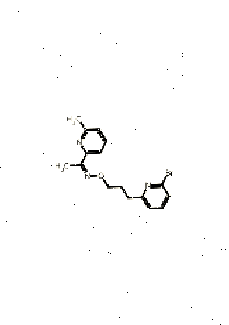 CC(=NOCCCc1cccc(Br)n1)c1cccc(C)n1